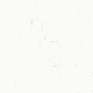 CCc1nc(Nc2ccc(O)c(F)c2)c2ncn([C@@H]3O[C@H](COC)C(O)C3O)c2n1